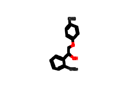 COc1ccccc1C(O)COc1ccc(C=O)cc1